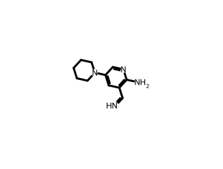 N=Cc1cc(N2CCCCC2)cnc1N